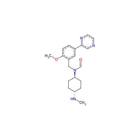 CN[C@H]1CC[C@H](N(C=O)Cc2cc(-c3cnccn3)ccc2OC)CC1